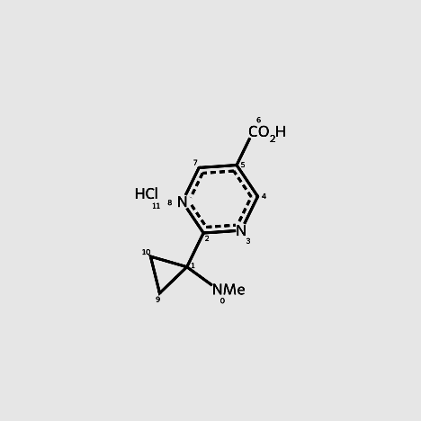 CNC1(c2ncc(C(=O)O)cn2)CC1.Cl